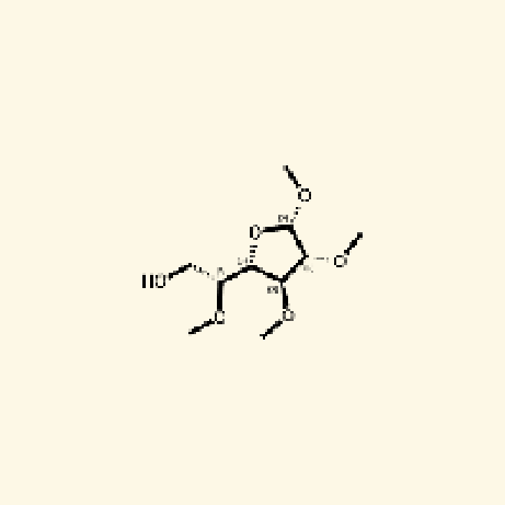 CO[C@H]1O[C@@H]([C@@H](CO)OC)[C@H](OC)[C@H]1OC